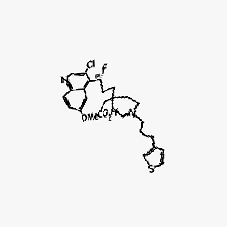 COc1ccc2ncc(Cl)c([C@H](F)CCC3(CC(=O)O)CCN(CCCc4ccsc4)CC3)c2c1